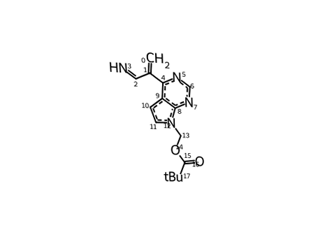 C=C(C=N)c1ncnc2c1ccn2COC(=O)C(C)(C)C